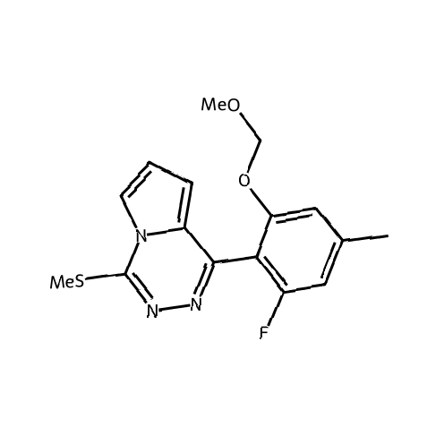 COCOc1cc(C)cc(F)c1-c1nnc(SC)n2cccc12